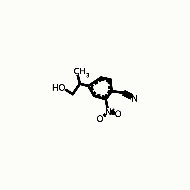 C[C](CO)c1ccc(C#N)c([N+](=O)[O-])c1